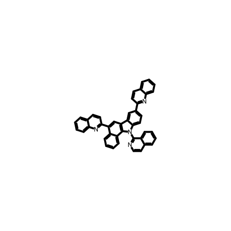 c1ccc2nc(-c3ccc4c(c3)c3cc(-c5ccc6ccccc6n5)c5ccccc5c3n4-c3nccc4ccccc34)ccc2c1